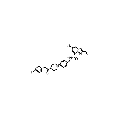 CCc1cn2cc(Cl)cc(C(=O)NCc3ccc(N4CCC(C(=O)Cc5ccc(F)cc5)CC4)cc3)c2n1